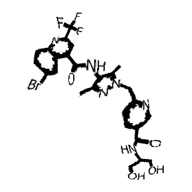 Cc1nn(Cc2ccc(C(=O)NC(CO)CO)cn2)c(C)c1NC(=O)c1cc(C(F)(F)F)nc2ccc(Br)cc12